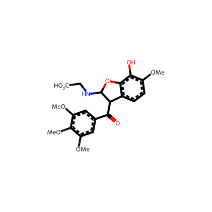 COc1ccc2c(c1O)OC(NCC(=O)O)C2C(=O)c1cc(OC)c(OC)c(OC)c1